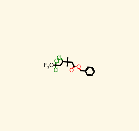 CC(C)(CC(=O)OCc1ccccc1)C(Cl)CC(Cl)(Cl)C(F)(F)F